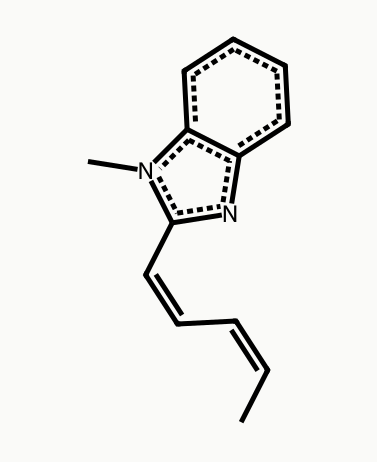 C/C=C\C=C/c1nc2ccccc2n1C